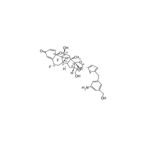 C[C@]12C=CC(=O)C=C1[C@@H](F)C[C@H]1[C@@H]3C[C@H]4O[C@@H](c5ccc(Cc6cc(N)cc(CO)c6)s5)O[C@@]4(C(=O)CO)[C@@]3(C)C[C@H](O)[C@@]12F